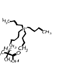 CC(C)(C)C(=O)O.CCCC[N+](CCCC)(CCCC)CCCC